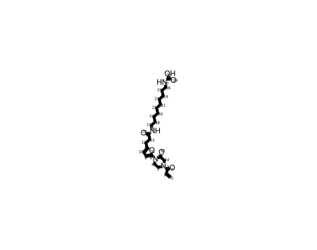 C=CC(=O)N1CCN(c2ccc(CCC(=O)NCCCCCCCCCCNC(=O)O)o2)C(=O)C1